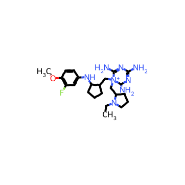 CCN1CCCC1C[N+]1(CC2CCCC2Nc2ccc(OC)c(F)c2)C(N)=NC(N)=NC1N